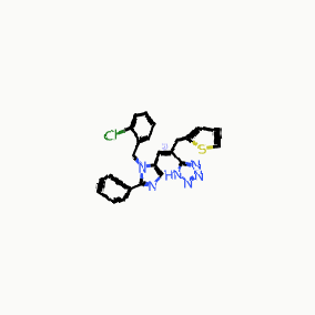 Clc1ccccc1Cn1c(/C=C(/Cc2cccs2)c2nnn[nH]2)cnc1-c1ccccc1